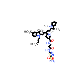 CCCC[N+]1=C(/C=C/C(=C/C=C2/N(CCCS(=O)(=O)O)c3ccc(S(=O)(=O)O)cc3C2(C)C)c2ccc(C(=O)NCCC(=O)Nc3nnc(S(N)(=O)=O)s3)cn2)C(C)(C)c2ccccc21